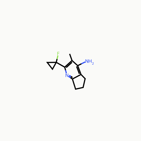 Cc1c(C2(F)CC2)nc2c(c1N)CCC2